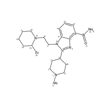 CCCN1CCC(c2nc3c(C(N)=O)cccc3n2CCN2CCCCC2CC)CC1